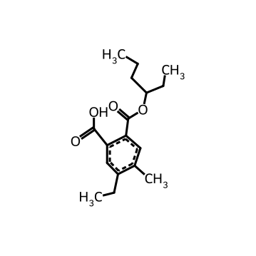 CCCC(CC)OC(=O)c1cc(C)c(CC)cc1C(=O)O